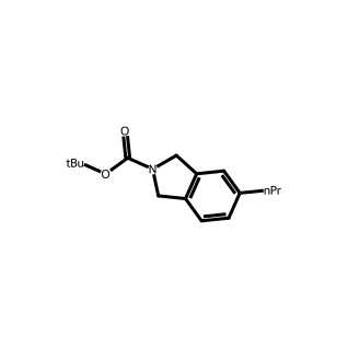 CCCc1ccc2c(c1)CN(C(=O)OC(C)(C)C)C2